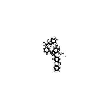 CC1(C=C(C#N)C(=O)N2CCC[C@@H](n3nc(-c4ccc(Oc5ccccc5)cc4)c4c(N)nccc43)C2)CCOCC1